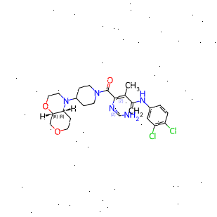 C=C(Nc1ccc(Cl)c(Cl)c1)/C(C)=C(\N=C/N)C(=O)N1CCC(N2CCO[C@H]3COCC[C@H]32)CC1